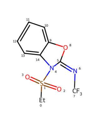 CCS(=O)(=O)n1/c(=N\C(F)(F)F)oc2ccccc21